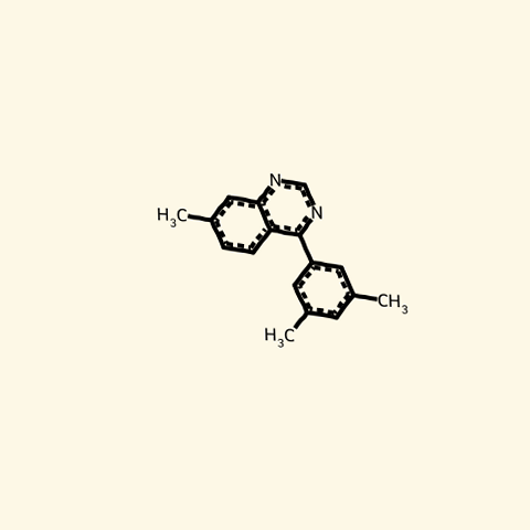 Cc1cc(C)cc(-c2ncnc3cc(C)ccc23)c1